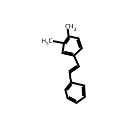 Cc1ccc(C=Cc2ccccc2)cc1C